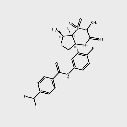 C[C@@H]1OC[C@]2(c3cc(NC(=O)c4cnc(C(F)F)cn4)ccc3F)NC(=N)N(C)S(=O)(=O)[C@H]12